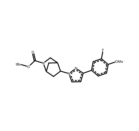 COc1ccc(-c2ccn(C3CC4CC3CN4C(=O)OC(C)(C)C)n2)cc1F